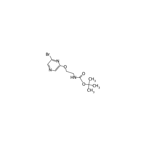 CC(C)(C)OC(=O)NCCOc1cncc(Br)n1